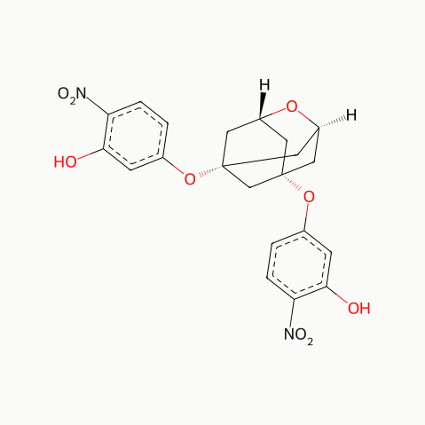 O=[N+]([O-])c1ccc(O[C@]23C[C@@H]4C[C@@](Oc5ccc([N+](=O)[O-])c(O)c5)(C[C@H](C2)O4)C3)cc1O